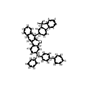 CC1(C)c2ccccc2-c2ccc(-c3c4ccccc4cc4c3oc3cc(N(c5ccccc5)c5ccc(-c6ccccc6)cc5)ccc34)cc21